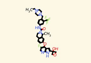 CCN1CCN(Cc2ccc(NC(=O)N3CCc4ccc(Oc5c(F)cnc6[nH]c(C7(O)COC7)cc56)cc4[C@@H]3C)cc2C(F)(F)F)CC1